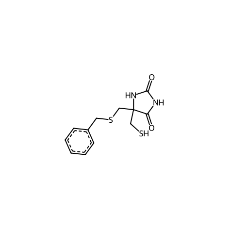 O=C1NC(=O)C(CS)(CSCc2ccccc2)N1